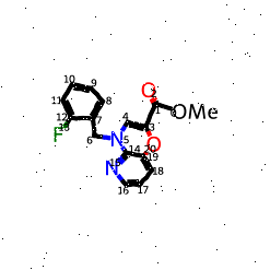 COC(=O)C1=CN(Cc2ccccc2F)c2ncccc2O1